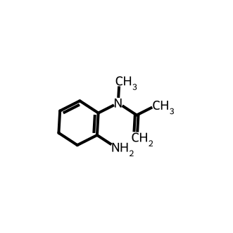 C=C(C)N(C)C1=C(N)CCC=C1